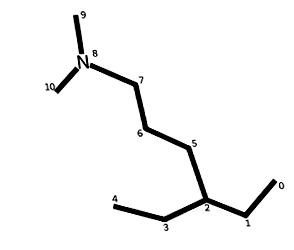 CCC(CC)CCCN(C)C